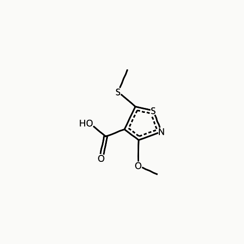 COc1nsc(SC)c1C(=O)O